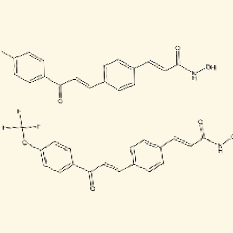 O=C(C=Cc1ccc(C=CC(=O)c2ccc(Br)cc2)cc1)NO.O=C(C=Cc1ccc(C=CC(=O)c2ccc(OC(F)(F)F)cc2)cc1)NO